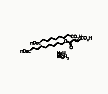 CCCCCCCCCCCCCCCCCC(=O)O.CCCCCCCCCCCCCCCCCCOC(=O)C=CC(=O)O.[MgH2].[NaH]